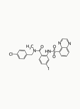 CN(Cc1ccc(Cl)cc1)C(=O)c1ccc(I)cc1NS(=O)(=O)c1cccc2nccnc12